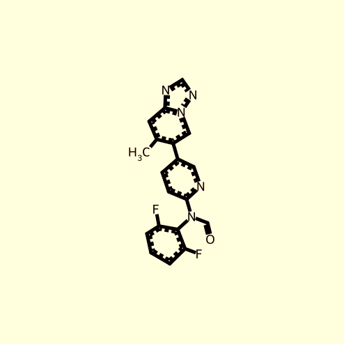 Cc1cc2ncnn2cc1-c1ccc(N(C=O)c2c(F)cccc2F)nc1